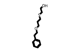 OCCSCCCOCCc1ccccc1